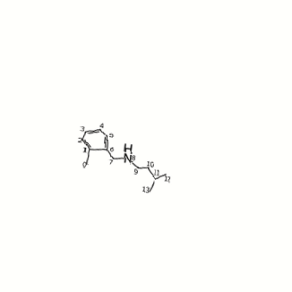 Cc1ccccc1CNCCC(C)C